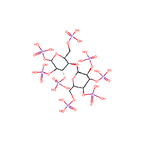 O=P(O)(O)OCC1O[C@@H](O[C@@H]2C(COP(=O)(O)O)OC(OP(=O)(O)O)C(OP(=O)(O)O)[C@H]2OP(=O)(O)O)[C@@H](OP(=O)(O)O)C(OP(=O)(O)O)[C@H]1OP(=O)(O)O